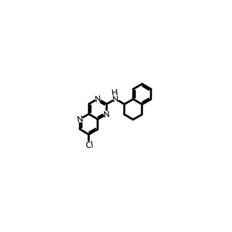 Clc1cnc2cnc(NC3CCCc4ccccc43)nc2c1